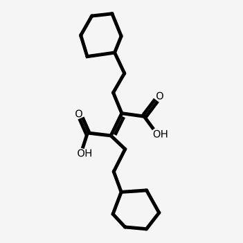 O=C(O)C(CCC1CCCCC1)=C(CCC1CCCCC1)C(=O)O